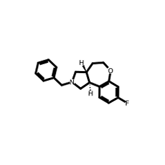 Fc1ccc2c(c1)OCC[C@H]1CN(Cc3ccccc3)C[C@H]21